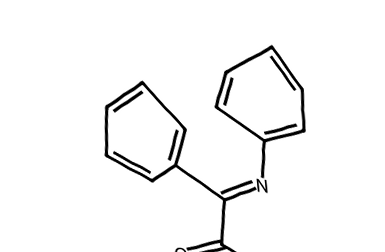 COC(=O)/C(=N/c1ccccc1)c1ccccc1